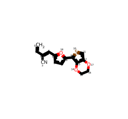 C=C/C(C#N)=C/c1ccc(-c2scc3c2OCCO3)o1